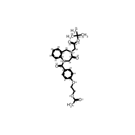 CC(=O)OCCOc1ccc(C(=O)N2CC(=O)N(CC(=O)OC(C)(C)C)Cc3ccccc32)cc1